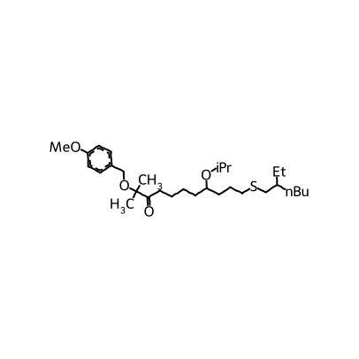 CCCCC(CC)CSCCCC(CCCCC(=O)C(C)(C)OCc1ccc(OC)cc1)OC(C)C